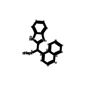 CCCCCCCC(c1nc2ccccc2[nH]1)c1cccc2ccccc12